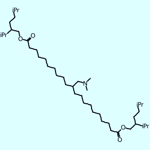 CC(C)CCC(COC(=O)CCCCCCCCCC(CCCCCCCCCC(=O)OCC(CCC(C)C)C(C)C)CN(C)C)C(C)C